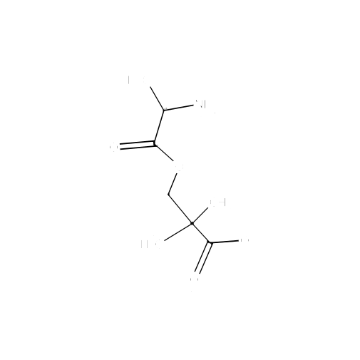 CC(N)C(=O)OCC(C)(C)C([O])=O